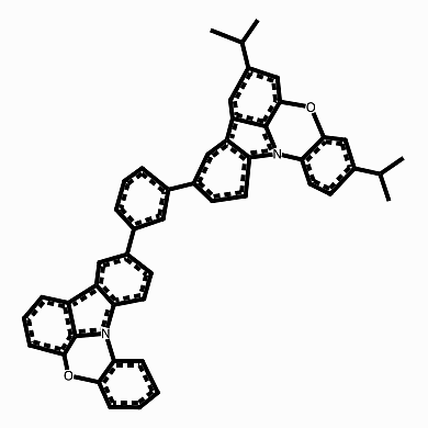 CC(C)c1ccc2c(c1)Oc1cc(C(C)C)cc3c4cc(-c5cccc(-c6ccc7c(c6)c6cccc8c6n7-c6ccccc6O8)c5)ccc4n-2c13